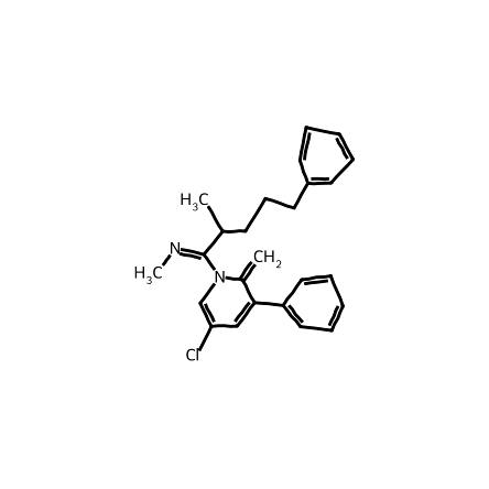 C=C1C(c2ccccc2)=CC(Cl)=CN1/C(=N\C)C(C)CCCc1ccccc1